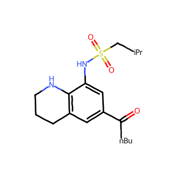 CCCCC(=O)c1cc2c(c(NS(=O)(=O)CC(C)C)c1)NCCC2